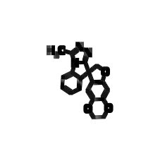 Cc1nnc2n1-c1ccccc1C21COc2cc3c(cc21)OCCO3